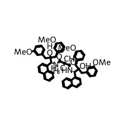 COc1cccc(CC(O)(Cc2cccc(OC)c2)[C@@H](NC(=O)C(C)(C)C(=O)N[C@@H](c2cccc3ccccc23)C(O)(Cc2cccc(OC)c2)Cc2cccc(OC)c2)c2cccc3ccccc23)c1